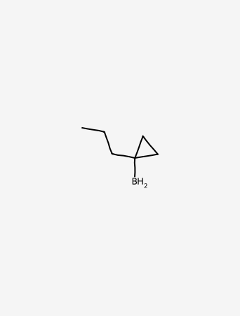 BC1(CCC)CC1